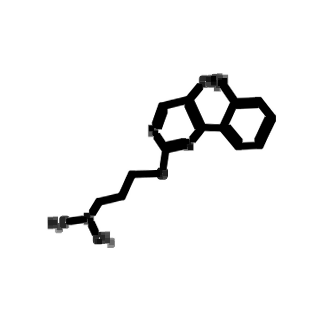 CN(C)CCCOc1ncc(C(=O)O)c(-c2ccccc2Cl)n1